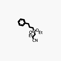 CCO[Si](CCC#N)(CCCc1ccccc1)OCC